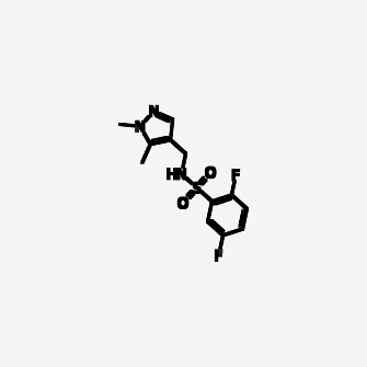 Cc1c(CNS(=O)(=O)c2cc(F)ccc2F)cnn1C